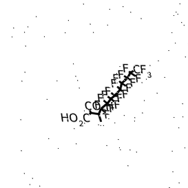 CC(C(C(=O)O)C(=O)O)C(F)(F)C(F)(F)C(F)(F)C(F)(F)C(F)(F)C(F)(F)C(F)(F)C(F)(F)C(F)(F)F